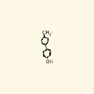 [CH2]c1ccc(-c2ccc(O)cc2)cc1